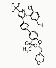 CS(=O)(=O)c1cc(-c2ccc(-c3cc(C(F)(F)F)nn3-c3cc(CI)ccc3Cl)s2)ccc1OCCN1CCOCC1